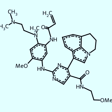 C=CC(=O)Nc1cc(Nc2ncc(C(=O)NCCOC)c(-c3cn4c5c(cccc35)CCC4)n2)c(OC)cc1N(C)CCN(C)C